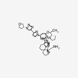 C[C@H](Oc1cc(-n2ccc(-c3cn([C@@H]4CCOC4)nn3)n2)nc(-c2noc3c2CCC[C@@]32CCCc3sc(N)c(C#N)c32)n1)[C@@H]1CCCN1C